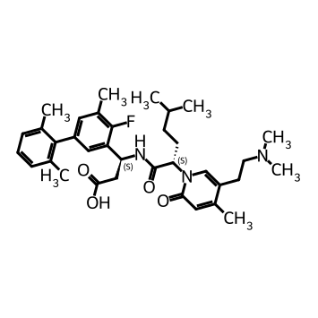 Cc1cc(=O)n([C@@H](CCC(C)C)C(=O)N[C@@H](CC(=O)O)c2cc(-c3c(C)cccc3C)cc(C)c2F)cc1CCN(C)C